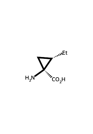 CC[C@H]1C[C@@]1(N)C(=O)O